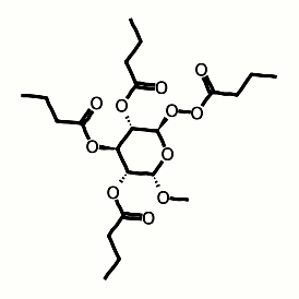 CCCC(=O)OO[C@H]1O[C@H](OC)[C@H](OC(=O)CCC)[C@@H](OC(=O)CCC)[C@@H]1OC(=O)CCC